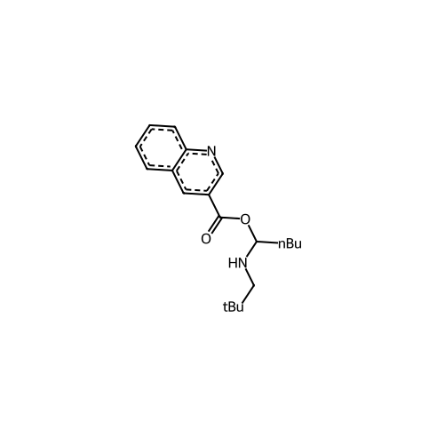 CCCCC(NCC(C)(C)C)OC(=O)c1cnc2ccccc2c1